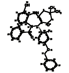 CC1(C)CC(=O)C2=C(C1)Nc1c(O)cccc1N(C(=O)c1ncccn1)[C@H]2c1ccc(OCc2ccccc2)cc1F